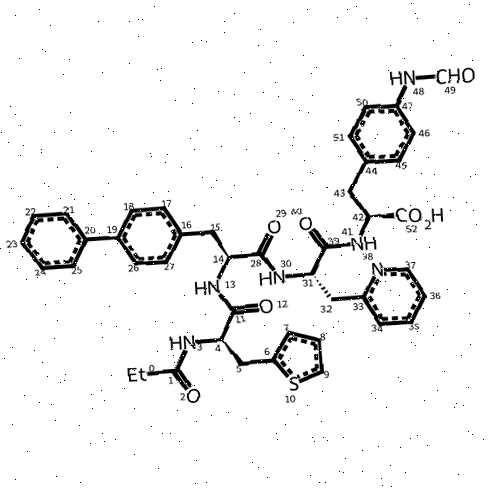 CCC(=O)N[C@H](Cc1cccs1)C(=O)N[C@@H](Cc1ccc(-c2ccccc2)cc1)C(=O)N[C@@H](Cc1ccccn1)C(=O)N[C@@H](Cc1ccc(NC=O)cc1)C(=O)O